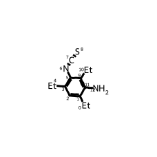 CCc1cc(CC)c(N=C=S)c(CC)c1N